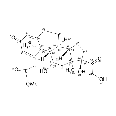 COC(=O)CC1=CC(=O)C=C2CC[C@@H]3[C@H]([C@@H](O)C[C@@]4(C)[C@H]3CC[C@]4(O)C(=O)CO)[C@]21C